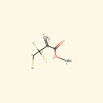 C=C(C(=O)OCCCC)C(F)(F)CF